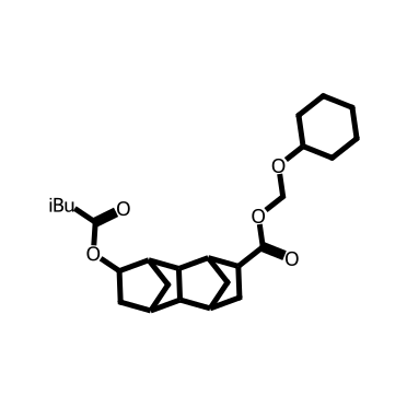 CCC(C)C(=O)OC1CC2CC1C1C3CC(CC3C(=O)OCOC3CCCCC3)C21